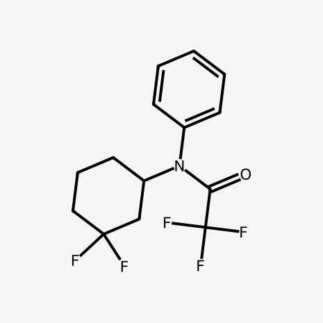 O=C(N(c1ccccc1)C1CCCC(F)(F)C1)C(F)(F)F